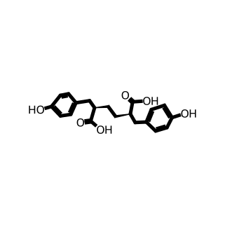 O=C(O)[C@H](CC[C@H](Cc1ccc(O)cc1)C(=O)O)Cc1ccc(O)cc1